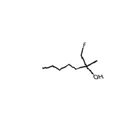 CCCCCC(C)(O)CF